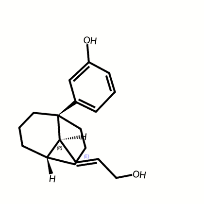 OC/C=C/[C@H]1[C@H]2CCC[C@]1(c1cccc(O)c1)CCC2